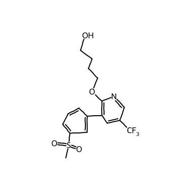 CS(=O)(=O)c1cccc(-c2cc(C(F)(F)F)cnc2OCCCCO)c1